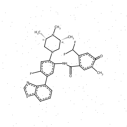 C[C@@H]1CN(c2cc(F)c(-c3cccc4scnc34)cc2NC(=O)c2cn(C)c(=O)cc2C(F)F)C[C@H](C)N1C